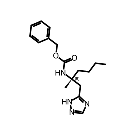 CCCC[C@](C)(Cc1ncn[nH]1)NC(=O)OCc1ccccc1